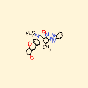 Cc1cc(CN(C)c2ccc(C=C3C(=O)CCC3=O)cc2)c(N=O)c(-n2nc3ccccc3n2)c1